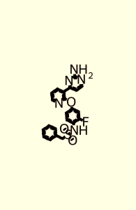 Nc1nccc(-c2cccnc2Oc2ccc(NS(=O)(=O)Cc3ccccc3)c(F)c2)n1